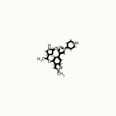 CC(Oc1cc(-c2cnn(C3CCNCC3)c2)cc2nn(C)cc12)C1CNC(=O)C1